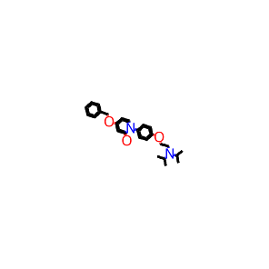 CC(C)N(CCOc1ccc(-n2ccc(OCc3ccccc3)cc2=O)cc1)C(C)C